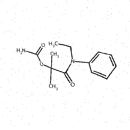 CCN(C(=O)C(C)(C)OC(N)=O)c1ccccc1